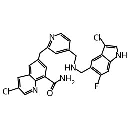 NC(=O)c1cc(Cc2cc(CNCc3cc4c(Cl)c[nH]c4cc3F)ccn2)cc2cc(Cl)cnc12